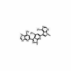 CC(C)c1ncnc2c1c(-c1cc(C(C)C)c3c(-c4cc(C(C)C)c5c(ncn5C)n4)nn(C)c3n1)cn2C